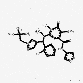 COc1c(C(=O)Nc2cnoc2)nc(C(C)C(c2cnn(CC(C)(C)OC)c2)c2ccccc2C#N)n(C)c1=O